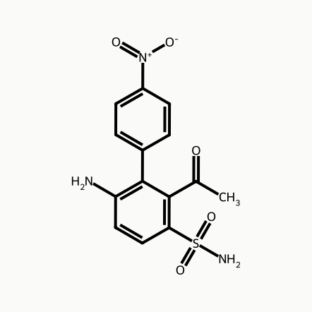 CC(=O)c1c(S(N)(=O)=O)ccc(N)c1-c1ccc([N+](=O)[O-])cc1